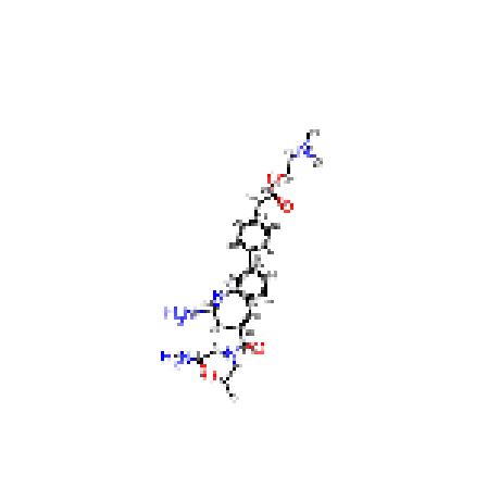 CCCN(CC(N)=O)C(=O)C1=Cc2ccc(-c3ccc(CC(=O)OCCN(C)C)cc3)cc2N=C(N)C1